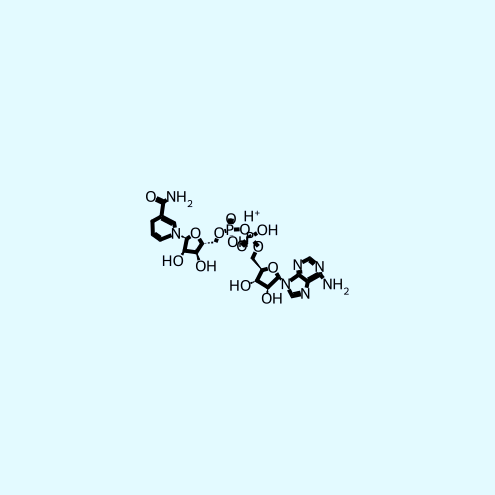 NC(=O)C1=CN([C@@H]2O[C@H](COP(=O)(O)OP(=O)(O)OC[C@H]3O[C@@H](n4cnc5c(N)ncnc54)[C@H](O)[C@@H]3O)[C@@H](O)[C@H]2O)C=CC1.[H+]